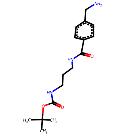 CC(C)(C)OC(=O)NCCCNC(=O)c1ccc(CN)cc1